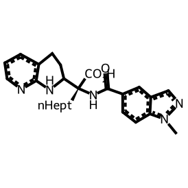 CCCCCCC[C@](NC(=O)c1ccc2c(cnn2C)c1)(C(=O)O)C1CCc2cccnc2N1